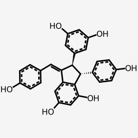 Oc1ccc(/C=C2\c3cc(O)cc(O)c3[C@@H](c3ccc(O)cc3)[C@@H]2c2cc(O)cc(O)c2)cc1